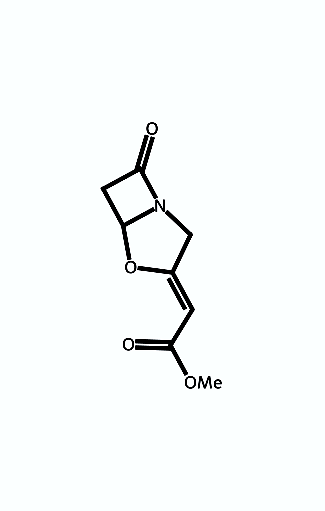 COC(=O)C=C1CN2C(=O)CC2O1